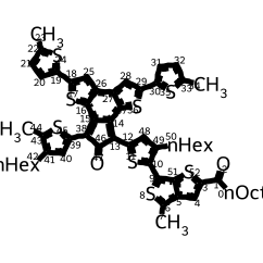 CCCCCCCCC(=O)c1cc2c(C)sc(-c3sc(C4=c5c(c6sc(-c7ccc(C)s7)cc6c6cc(-c7ccc(C)s7)sc56)=C(c5cc(CCCCCC)c(C)s5)C4=O)cc3CCCCCC)c2s1